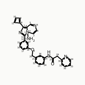 N[N+]12C=CN=CC1=C(C1=CC=C1)N=C2c1cccc(OCc2cccc(NC(=O)Cc3ccccn3)c2)c1